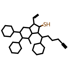 C#CCCCC(C1CCCCC1)C1C(S)C(C=C)C2CC(C3CCCCC3)C(C3CCCCC3)C(C)C21